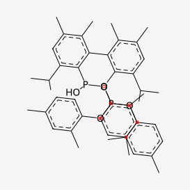 Cc1ccc(OP(Oc2ccc(C)cc2C)Oc2c(C(C)C)cc(C)c(C)c2-c2c(C)c(C)cc(C(C)C)c2P(O)Oc2ccc(C)cc2C)c(C)c1